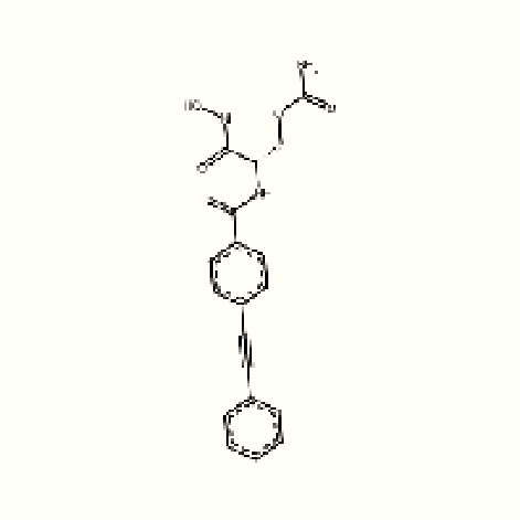 NC(=O)OC[C@H](NC(=O)c1ccc(C#Cc2ccccc2)cc1)C(=O)NO